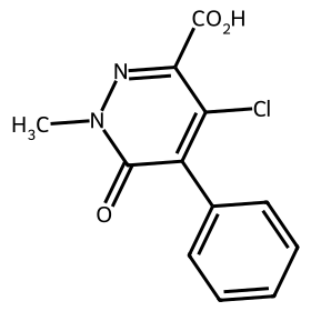 Cn1nc(C(=O)O)c(Cl)c(-c2ccccc2)c1=O